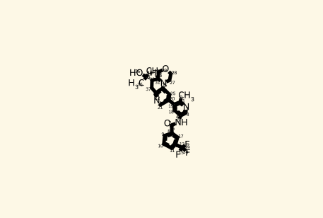 Cc1ncc(NC(=O)c2cccc(C(F)(F)F)c2)cc1-c1cnc2c(c1)N1CCOC[C@H]1[C@@H](C(C)(C)O)C2